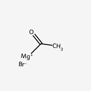 C[C](=O)[Mg+].[Br-]